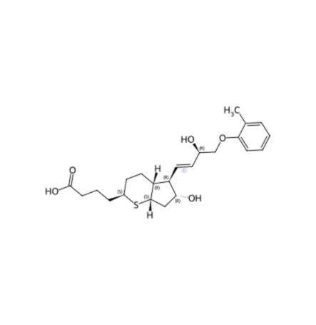 Cc1ccccc1OC[C@H](O)/C=C/[C@@H]1[C@H]2CC[C@H](CCCC(=O)O)S[C@H]2C[C@H]1O